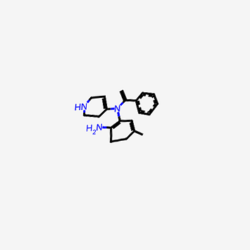 C=C(c1ccccc1)N(C1=CCNCC1)C1=C(N)CCC(C)=C1